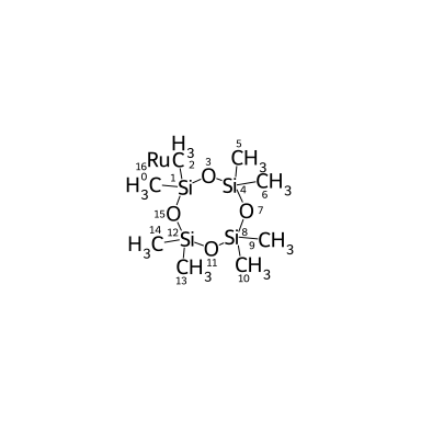 C[Si]1(C)O[Si](C)(C)O[Si](C)(C)O[Si](C)(C)O1.[Ru]